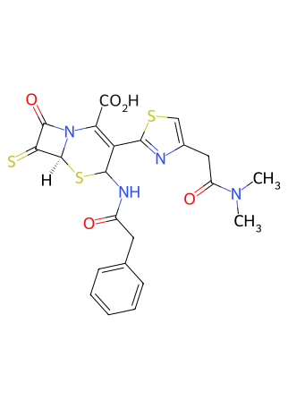 CN(C)C(=O)Cc1csc(C2=C(C(=O)O)N3C(=O)C(=S)[C@@H]3SC2NC(=O)Cc2ccccc2)n1